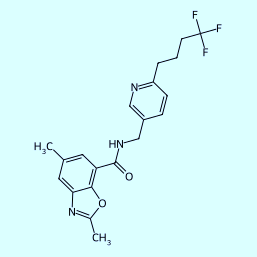 Cc1cc(C(=O)NCc2ccc(CCCC(F)(F)F)nc2)c2oc(C)nc2c1